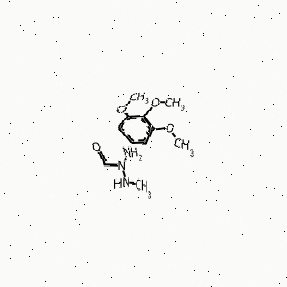 CNN(N)C=O.COc1cccc(OC)c1OC